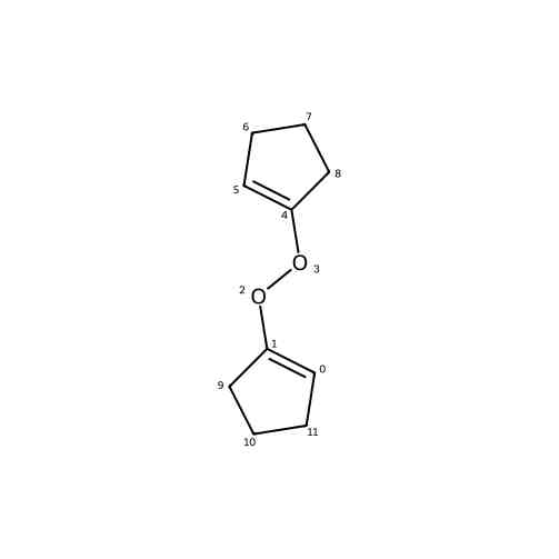 C1=C(OOC2=CCCC2)CCC1